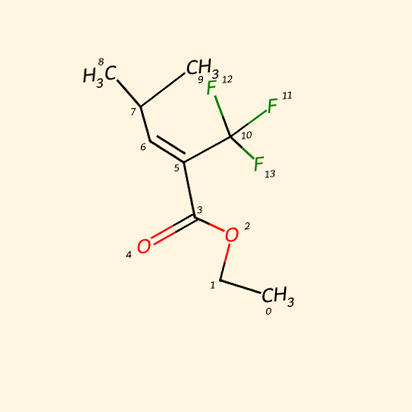 CCOC(=O)C(=CC(C)C)C(F)(F)F